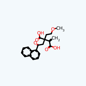 C=C(C(=O)O)C(CCOC)(CC(=O)c1cccc2ccccc12)C(=O)O